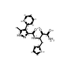 Cc1[nH]nc(C(=O)NC(Cc2cccs2)C(=O)C(N)=O)c1-c1ccccn1